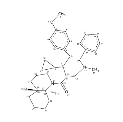 COc1ccc(CN(C2CC2)[C@H](CN(C)Cc2ccccc2)C(=O)N2CCC[C@H]3CCCC[C@@H]32)cc1